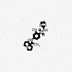 CC(Nc1ccc(S(=O)(=O)Nc2nccs2)c(C#N)c1)C12CCCN1CCC2